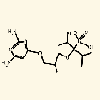 CC(COc1cc(N)nc(N)n1)COC(C(C)C)(C(C)C)P(=O)(O)O